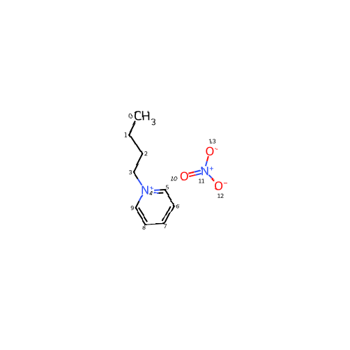 CCCC[n+]1ccccc1.O=[N+]([O-])[O-]